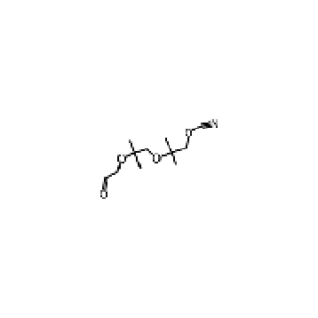 CC(C)(COC#N)OCC(C)(C)OCC=O